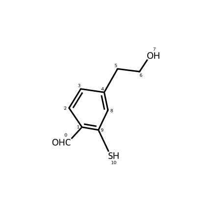 O=Cc1ccc(CCO)cc1S